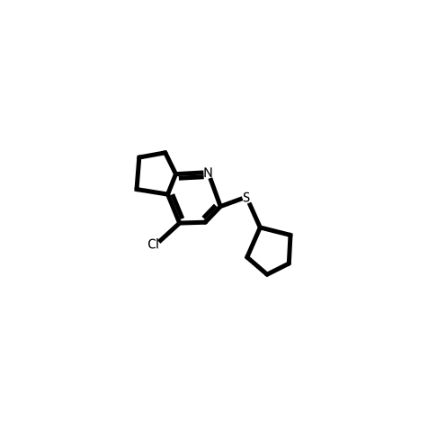 Clc1cc(SC2CCCC2)nc2c1CCC2